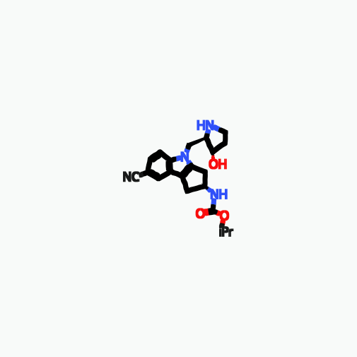 CC(C)OC(=O)N[C@H]1Cc2c(n(C[C@H]3NCC[C@@H]3O)c3ccc(C#N)cc23)C1